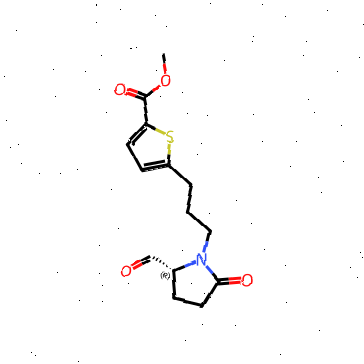 COC(=O)c1ccc(CCCN2C(=O)CC[C@@H]2C=O)s1